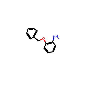 Nc1[c]cccc1OCc1ccccc1